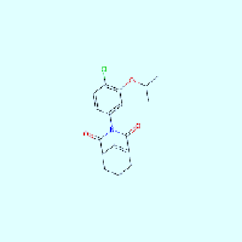 CC(C)Oc1cc(N2C(=O)C3=CC(CCC3)C2=O)ccc1Cl